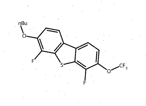 CCCCOc1ccc2c(sc3c(F)c(OC(F)(F)F)ccc32)c1F